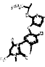 CCOC(=O)C(C)Oc1ncccc1Oc1cc(-n2c(=O)cc(C(F)(F)F)n(C)c2=O)c(F)cc1Cl